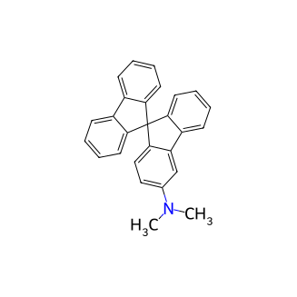 CN(C)c1ccc2c(c1)-c1ccccc1C21c2ccccc2-c2ccccc21